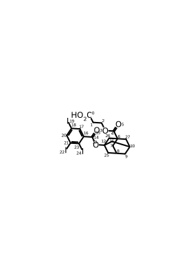 O=C(O)CCOC(=O)C12CC3CC(CC(OC(=O)c4cc(I)cc(I)c4I)(C3)C1)C2